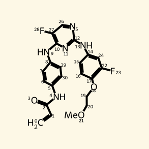 C=CC(=O)Nc1ccc(Nc2nc(Nc3ccc(OCCOC)c(F)c3)ncc2F)cc1